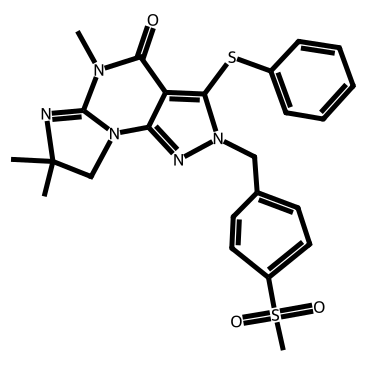 CN1C(=O)c2c(nn(Cc3ccc(S(C)(=O)=O)cc3)c2Sc2ccccc2)N2CC(C)(C)N=C12